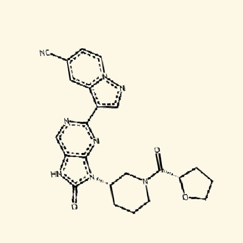 N#Cc1ccn2ncc(-c3ncc4[nH]c(=O)n([C@H]5CCCN(C(=O)[C@@H]6CCCO6)C5)c4n3)c2c1